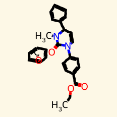 CCOC(=O)c1ccc(N2C=CC(c3ccccc3)N(C)C2=O)cc1.c1cc2ccc1CO2